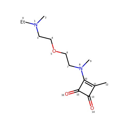 CCN(C)CCOCCN(C)c1c(C)c(=O)c1=O